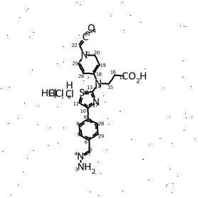 Cl.Cl.Cl.NN=Cc1ccc(-c2csc(N(CCC(=O)O)C3=CCN(C=C=O)C=C3)n2)cc1